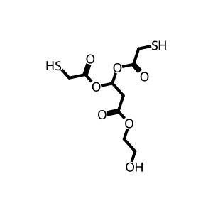 O=C(CC(OC(=O)CS)OC(=O)CS)OCCO